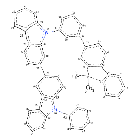 CC1(C)c2ccccc2-c2ccc(-c3cccc(-n4c5ccccc5c5ccc(-c6ccc7c(c6)c6ccccc6n7-c6ccccc6)cc54)c3)cc21